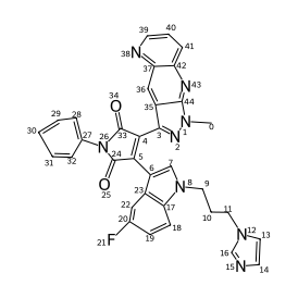 Cn1nc(C2=C(c3cn(CCCn4ccnc4)c4ccc(F)cc34)C(=O)N(c3ccccc3)C2=O)c2cc3ncccc3nc21